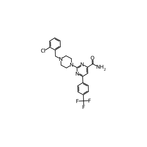 NC(=O)c1cc(-c2ccc(C(F)(F)F)cc2)nc(N2CCN(Cc3ccccc3Cl)CC2)n1